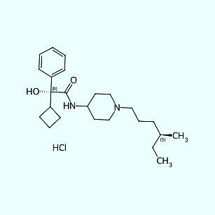 CC[C@H](C)CCCN1CCC(NC(=O)[C@](O)(c2ccccc2)C2CCC2)CC1.Cl